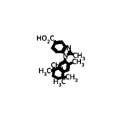 Cc1cc2c(cc1-n1c(C)nc3cc(C(=O)O)ccc31)C(C)(C)CCC2(C)C